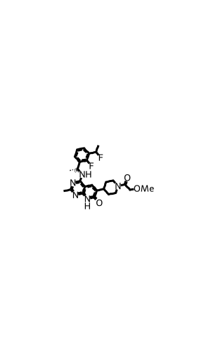 COCC(=O)N1CCC(c2cc3c(N[C@H](C)c4cccc(C(C)F)c4F)nc(C)nc3[nH]c2=O)CC1